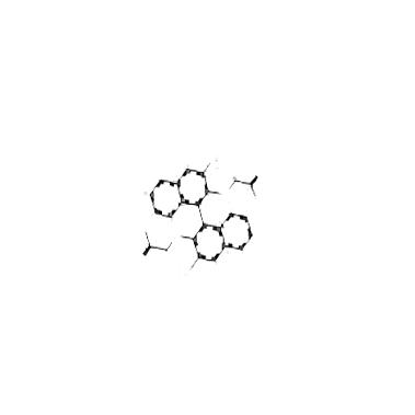 O=C(Cl)COc1c(Br)cc2ccccc2c1-c1c(OCC(=O)Cl)c(Br)cc2ccccc12